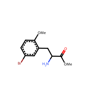 COC(=O)C(N)Cc1cc(Br)ccc1OC